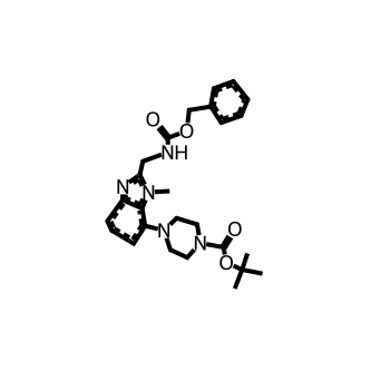 Cn1c(CNC(=O)OCc2ccccc2)nc2cccc(N3CCN(C(=O)OC(C)(C)C)CC3)c21